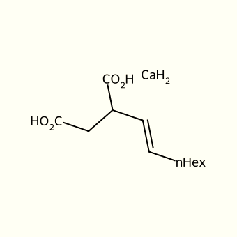 CCCCCCC=CC(CC(=O)O)C(=O)O.[CaH2]